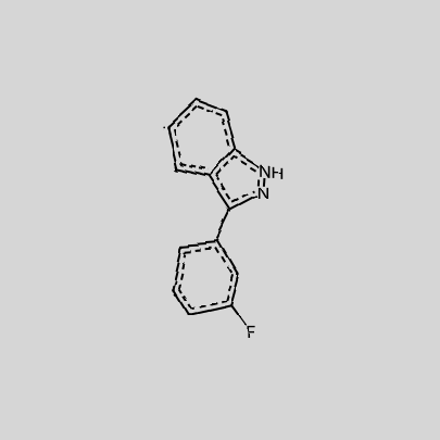 Fc1cccc(-c2n[nH]c3cc[c]cc23)c1